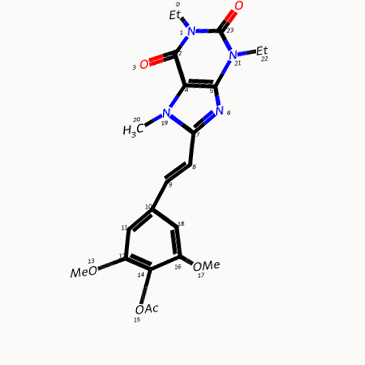 CCn1c(=O)c2c(nc(C=Cc3cc(OC)c(OC(C)=O)c(OC)c3)n2C)n(CC)c1=O